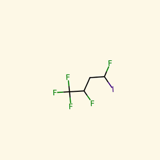 FC(I)CC(F)C(F)(F)F